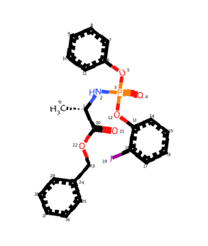 C[C@H](NP(=O)(Oc1ccccc1)Oc1ccccc1I)C(=O)OCc1ccccc1